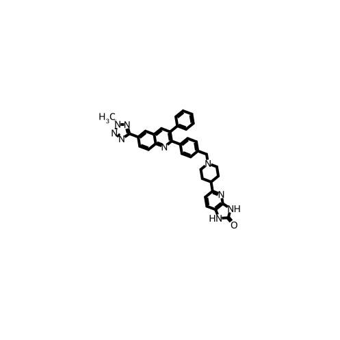 Cn1nnc(-c2ccc3nc(-c4ccc(CN5CCC(c6ccc7[nH]c(=O)[nH]c7n6)CC5)cc4)c(-c4ccccc4)cc3c2)n1